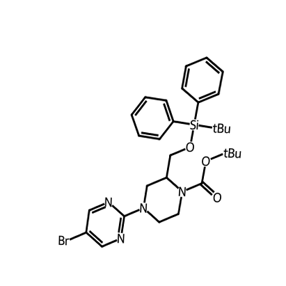 CC(C)(C)OC(=O)N1CCN(c2ncc(Br)cn2)CC1CO[Si](c1ccccc1)(c1ccccc1)C(C)(C)C